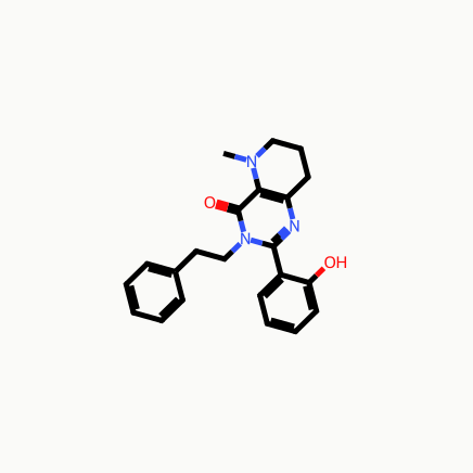 CN1CCCc2nc(-c3ccccc3O)n(CCc3ccccc3)c(=O)c21